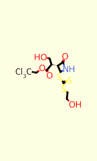 O=C(OCC(Cl)(Cl)Cl)C(CO)[C@@H]1C(=O)N[C@@H]1SC(=S)SCCO